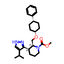 COC(=O)N1CCC[C@@H](c2n[nH]cc2C(C)C)[C@H]1CO[C@H]1CC[C@@H](c2ccccc2)CC1